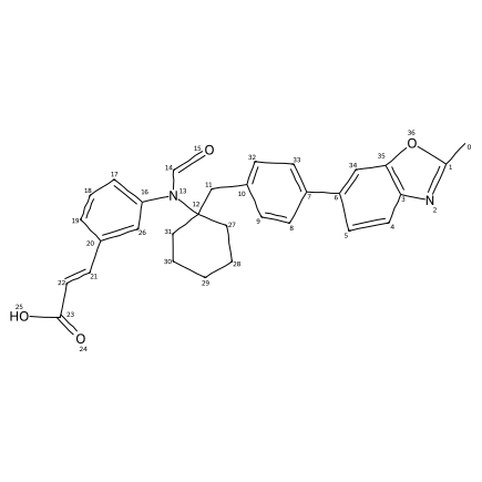 Cc1nc2ccc(-c3ccc(CC4(N(C=O)c5cccc(/C=C/C(=O)O)c5)CCCCC4)cc3)cc2o1